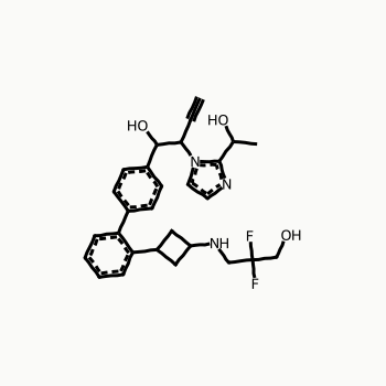 C#CC(C(O)c1ccc(-c2ccccc2C2CC(NCC(F)(F)CO)C2)cc1)n1ccnc1C(C)O